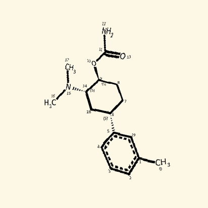 Cc1cccc([C@H]2CC[C@H](OC(N)=O)[C@@H](N(C)C)C2)c1